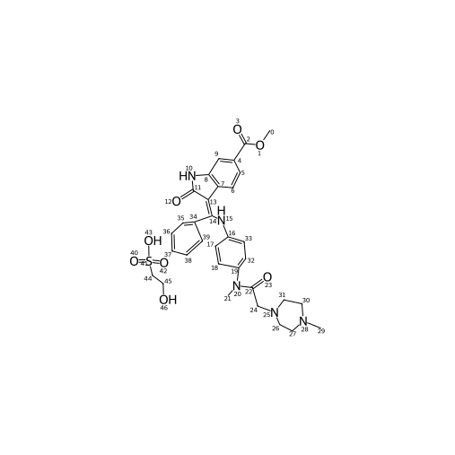 COC(=O)c1ccc2c(c1)NC(=O)C2=C(Nc1ccc(N(C)C(=O)CN2CCN(C)CC2)cc1)c1ccccc1.O=S(=O)(O)CCO